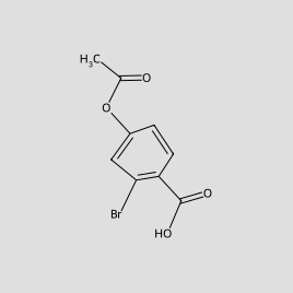 CC(=O)Oc1ccc(C(=O)O)c(Br)c1